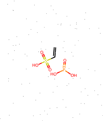 C=CS(=O)(=O)O.O=[PH](O)O